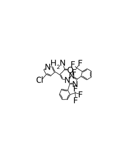 NC(=O)C(=Cn1nc(-c2ccccc2C(F)(F)F)nc1-c1ccccc1C(F)(F)F)c1cncc(Cl)c1